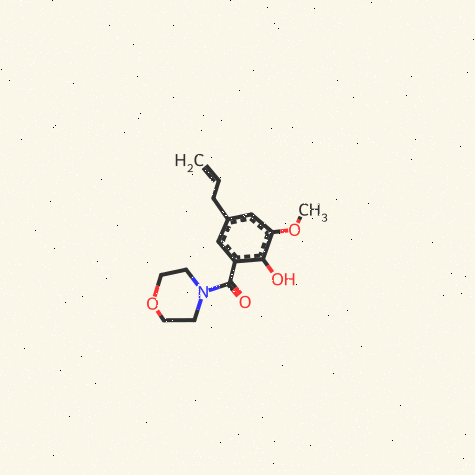 C=CCc1cc(OC)c(O)c(C(=O)N2CCOCC2)c1